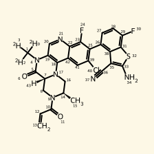 [2H]C([2H])([2H])N1C(=O)[C@H]2CN(C(=O)C=C)[C@H](C)CN2c2c1cnc1c(F)c(-c3ccc(F)c4sc(N)c(C#N)c34)c(Cl)cc21